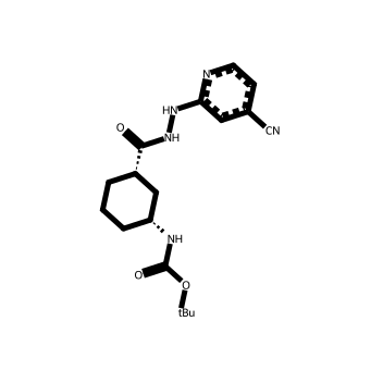 CC(C)(C)OC(=O)N[C@@H]1CCC[C@H](C(=O)NNc2cc(C#N)ccn2)C1